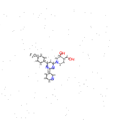 OC[C@H]1CCN(c2cc(-c3ccc(C(F)(F)F)cc3)nc(-c3cccnc3)n2)C[C@H]1O